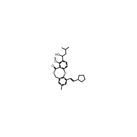 COc1c(C(O)CC(C)C)ccc2c1C(=O)OCc1cc(C)cc(C=CC3CCCC3)c1O2